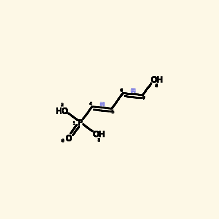 O=P(O)(O)/C=C/C=C/O